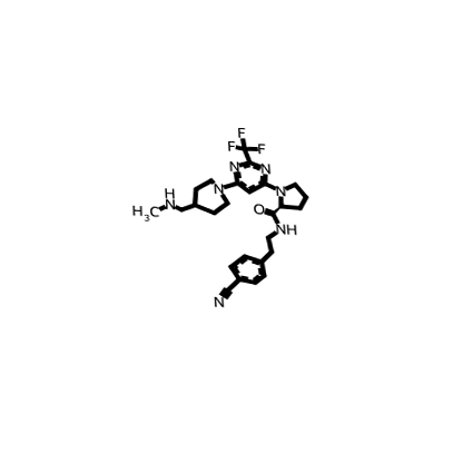 CNCC1CCN(c2cc(N3CCC[C@H]3C(=O)NCCc3ccc(C#N)cc3)nc(C(F)(F)F)n2)CC1